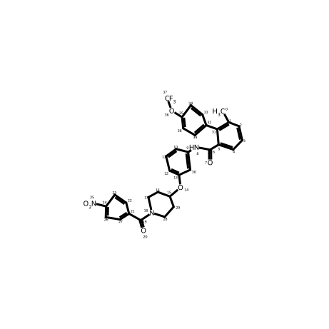 Cc1cccc(C(=O)Nc2cccc(OC3CCN(C(=O)c4ccc([N+](=O)[O-])cc4)CC3)c2)c1-c1ccc(OC(F)(F)F)cc1